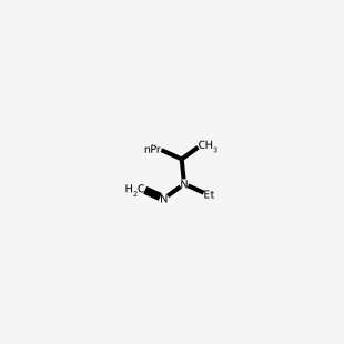 C=NN(CC)C(C)CCC